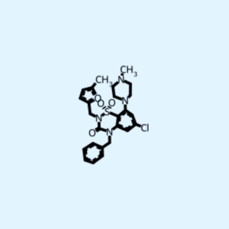 Cc1ccc(CN2C(=O)N(Cc3ccccc3)c3cc(Cl)cc(N4CCN(C)CC4)c3S2(=O)=O)o1